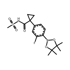 CC1(C)OB(c2ccc(C3(C(=O)NS(C)(=O)=O)CC3)cc2F)OC1(C)C